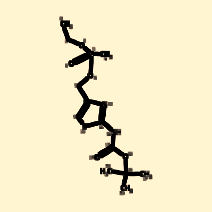 CCOP(C)(=O)OCc1csc(NC(=O)OC(C)(C)C)n1